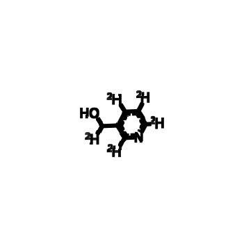 [2H]c1nc([2H])c(C([2H])O)c([2H])c1[2H]